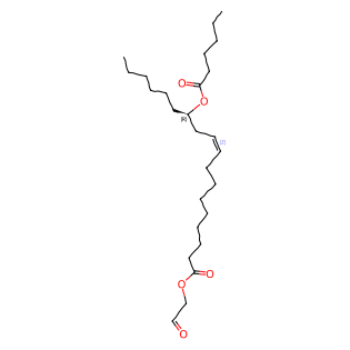 CCCCCC[C@H](C/C=C\CCCCCCCC(=O)OCC=O)OC(=O)CCCCC